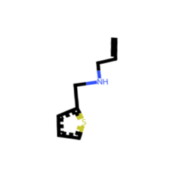 C=CCNCc1cccs1